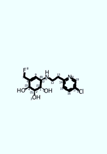 O[C@@H]1[C@@H](O)[C@@H](O)C(CF)=C[C@H]1NCCc1ccc(Cl)cn1